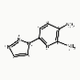 Nc1nc(-n2ccnn2)ccc1[N+](=O)[O-]